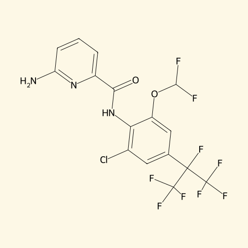 Nc1cccc(C(=O)Nc2c(Cl)cc(C(F)(C(F)(F)F)C(F)(F)F)cc2OC(F)F)n1